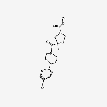 CC(C)(C)OC(=O)N1CC[C@@](C)(C(=O)N2CCN(c3ccc(C#N)cn3)CC2)C1